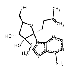 C=C(C)CC[C@@]1(n2cnc3c(N)ncnc32)O[C@H](CO)[C@@H](O)[C@]1(O)SC